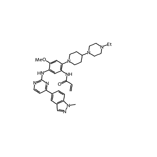 C=CC(=O)Nc1cc(Nc2nccc(-c3ccc4c(cnn4C)c3)n2)c(OC)cc1N1CCC(N2CCN(CC)CC2)CC1